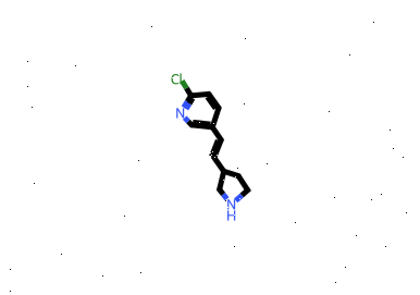 Clc1ccc(C=CC2CCNC2)cn1